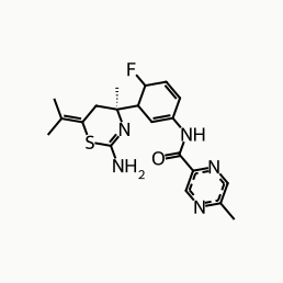 CC(C)=C1C[C@@](C)(C2C=C(NC(=O)c3cnc(C)cn3)C=CC2F)N=C(N)S1